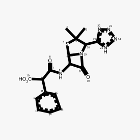 CC1(C)SC2C(NC(=O)C(C(=O)O)c3ccccc3)C(=O)N2C1c1nnn[nH]1